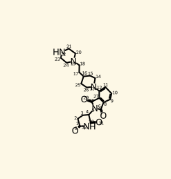 O=C1CCC(N2C(=O)c3cccc(N4CCC(CCN5CCNCC5)CC4)c3C2=O)C(=O)N1